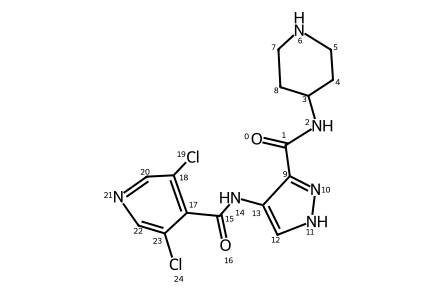 O=C(NC1CCNCC1)c1n[nH]cc1NC(=O)c1c(Cl)cncc1Cl